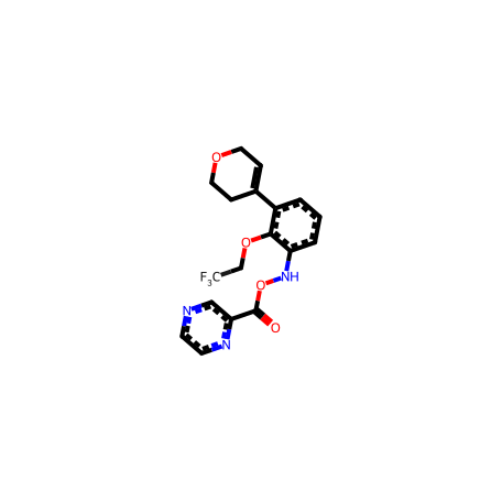 O=C(ONc1cccc(C2=CCOCC2)c1OCC(F)(F)F)c1cnccn1